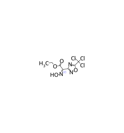 CCOC(=O)/C(=N\O)c1noc(C(Cl)(Cl)Cl)n1